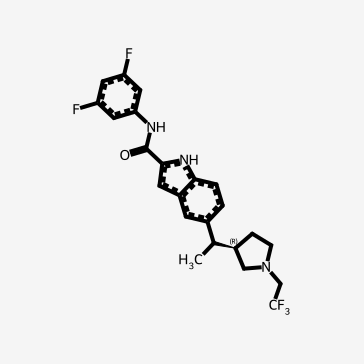 CC(c1ccc2[nH]c(C(=O)Nc3cc(F)cc(F)c3)cc2c1)[C@H]1CCN(CC(F)(F)F)C1